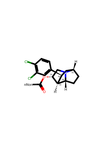 CCCCCCCCCC(=O)O[C@@H]1CN2[C@H]3CC[C@@H]2[C@@H]1[C@@H](c1ccc(Cl)c(Cl)c1)C3